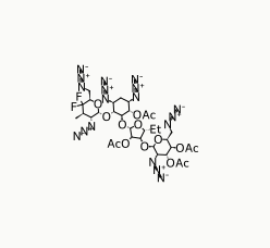 CC[C@H]1O[C@@H](O[C@@H]2[C@@H](OC(C)=O)[C@H](N=[N+]=[N-])C[C@H](N=[N+]=[N-])[C@H]2O[C@H]2O[C@H](CN=[N+]=[N-])C(F)(F)[C@H](C)[C@H]2N=[N+]=[N-])[C@H](OC(C)=O)[C@@H]1O[C@H]1O[C@@H](CN=[N+]=[N-])[C@@H](OC(C)=O)[C@H](OC(C)=O)[C@H]1N=[N+]=[N-]